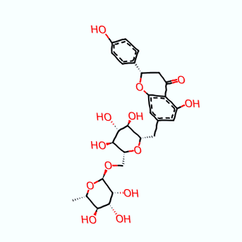 C[C@@H]1O[C@@H](OC[C@H]2O[C@@H](Cc3cc(O)c4c(c3)O[C@H](c3ccc(O)cc3)CC4=O)[C@H](O)[C@@H](O)[C@@H]2O)[C@H](O)[C@H](O)[C@H]1O